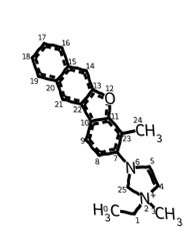 CC[N+]1(C)C=CN(c2ccc3c(oc4cc5ccccc5cc43)c2C)C1